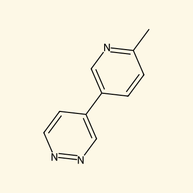 Cc1ccc(-c2ccnnc2)cn1